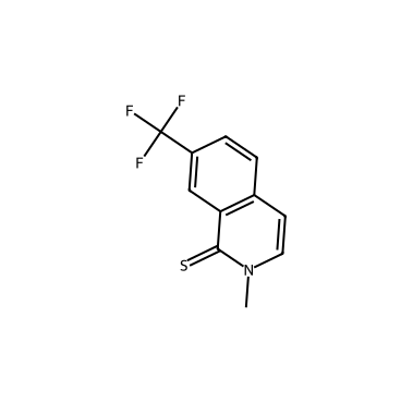 Cn1ccc2ccc(C(F)(F)F)cc2c1=S